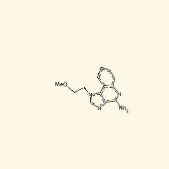 COCCn1cnc2c(N)nc3ccccc3c21